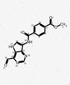 COC(=O)c1ccc(C(=O)Nc2c[nH]c3c(C=O)ncnc23)cc1